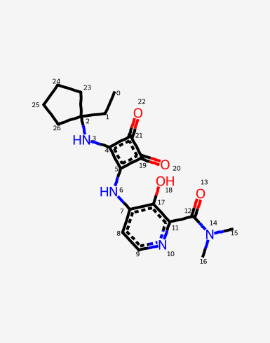 CCC1(Nc2c(Nc3ccnc(C(=O)N(C)C)c3O)c(=O)c2=O)CCCC1